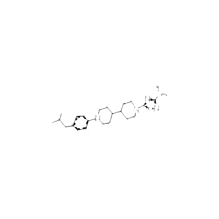 CC(C)Cc1ccc(N2CCC(C3CCN(c4nc(N(C)C)ns4)CC3)CC2)cc1